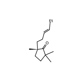 CC/C=C/CC[C@@]1(C)CCC(C)(C)C1=O